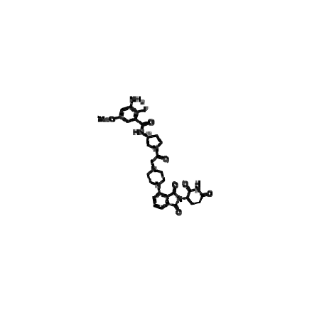 COc1cc(N)c(F)c(C(=O)N[C@H]2CCN(C(=O)CN3CCN(c4cccc5c4C(=O)N(C4CCC(=O)NC4=O)C5=O)CC3)C2)c1